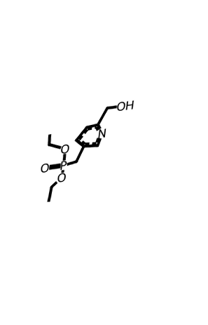 CCOP(=O)(Cc1ccc(CO)nc1)OCC